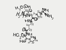 CC(O)C(N)C(=O)NC(CC1=CCN(C(=N)N)C1)C(=O)NCCCC(=O)NC(C(=O)O)C(O)c1cccnc1